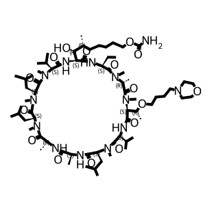 CC[C@@H]1NC(=O)[C@H]([C@H](O)[C@H](C)CCCCCOC(N)=O)NC(=O)[C@H](C(C)C)N(C)C(=O)[C@H](CC(C)C)N(C)C(=O)[C@H](CC(C)C)N(C)C(=O)[C@@H](C)NC(=O)[C@H](C)NC(=O)[C@H](CC(C)C)N(C)C(=O)[C@H](C(C)C)NC(=O)[C@H]([C@@H](C)OCCCCN2CCOCC2)N(C)C(=O)[C@@H](C)N(C)C1=O